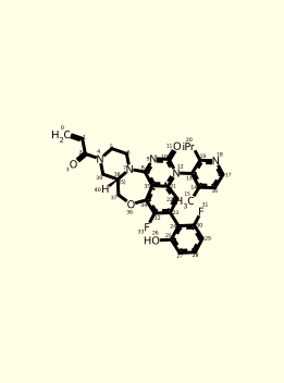 C=CC(=O)N1CCN2c3nc(=O)n(-c4c(C)ccnc4C(C)C)c4cc(-c5c(O)cccc5F)c(F)c(c34)OC[C@@H]2C1